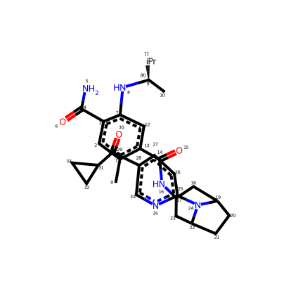 Cc1cc(C(N)=O)c(N[C@H](C)C(C)C)cc1C(=O)NC1CC2CCC(C1)N2c1ccc(C(=O)C2CC2)cn1